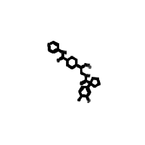 Cc1ccc(C2(C(=O)NCC(N)C3CCC(C(=O)Nc4ccncc4)CC3)CCCC2)cc1F